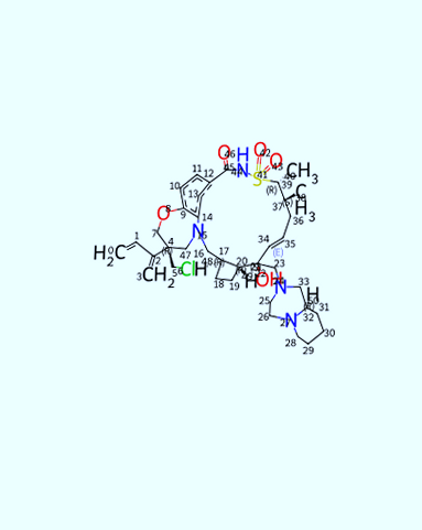 C=CC(=C)[C@]1(CCl)COc2ccc3cc2N(C[C@@H]2CC[C@H]2[C@@](O)(CN2CCN4CCCC[C@@H]4C2)/C=C/C[C@H](C)[C@@H](C)S(=O)(=O)NC3=O)C1